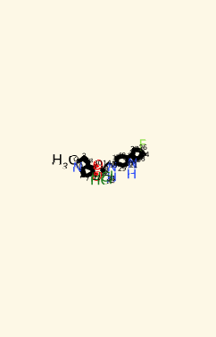 Cc1ccc2c3c(ccc2n1)OC[C@H](CN[C@H]1CCc2c([nH]c4ccc(F)cc24)C1)O3.Cl.Cl